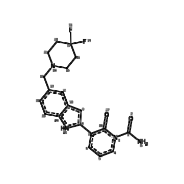 NC(=O)n1c[c]cc(-c2cc3cc(CN4CCC(F)(F)CC4)ccc3[nH]2)c1=O